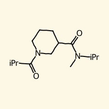 CC(C)C(=O)N1CCCC(C(=O)N(C)C(C)C)C1